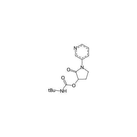 CC(C)(C)NC(=O)OC1CCN(c2cccnc2)C1=O